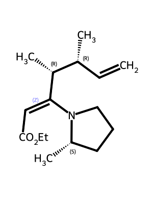 C=C[C@@H](C)[C@@H](C)/C(=C/C(=O)OCC)N1CCC[C@@H]1C